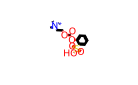 C[N+](C)(C)CCOC(=O)Oc1ccccc1S(=O)(=O)O